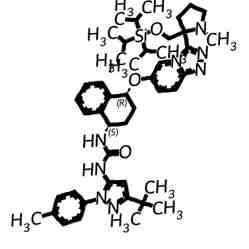 Cc1ccc(-n2nc(C(C)(C)C)cc2NC(=O)N[C@H]2CC[C@@H](Oc3ccc4nnc(C5(CO[Si](C(C)C)(C(C)C)C(C)C)CCCN5C)n4c3)c3ccccc32)cc1